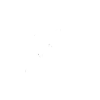 CCc1ccccc1NCCNc1ccccc1CC.Cl